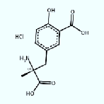 C[C@@](N)(Cc1ccc(O)c(C(=O)O)c1)C(=O)O.Cl